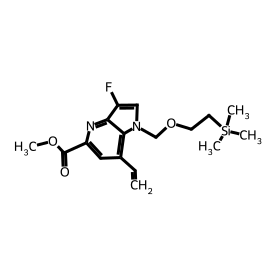 C=Cc1cc(C(=O)OC)nc2c(F)cn(COCC[Si](C)(C)C)c12